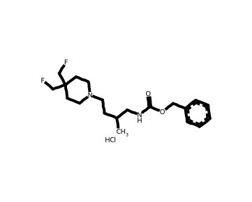 CC(CCN1CCC(CF)(CF)CC1)CNC(=O)OCc1ccccc1.Cl